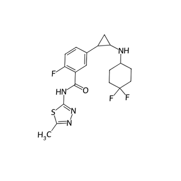 Cc1nnc(NC(=O)c2cc(C3CC3NC3CCC(F)(F)CC3)ccc2F)s1